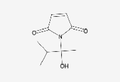 CC(C)C(C)(O)N1C(=O)C=CC1=O